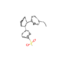 CCc1ccc(C2=C(c3ccc(S(C)(=O)=O)cc3)CCC2)cc1